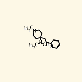 CN1CCC(CCc2ccccc2)(N(C)C)CC1